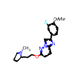 COc1ccc(-c2cn3nc(OCCC4CCCN4C)ccc3n2)cc1F